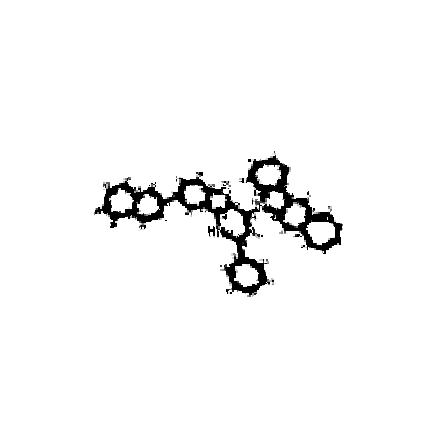 C1=CCC=c2cc3c4ccccc4n(C4=NC(c5ccccc5)Nc5c4oc4ccc(-c6ccc7ccccc7c6)cc54)c3cc2=C1